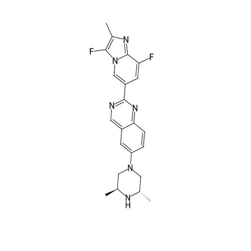 Cc1nc2c(F)cc(-c3ncc4cc(N5C[C@H](C)N[C@@H](C)C5)ccc4n3)cn2c1F